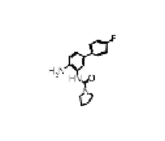 Nc1ccc(-c2ccc(F)cc2)cc1NC(=O)N1CCCC1